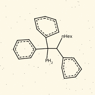 CCCCCCC(c1ccccc1)C(P)(c1ccccc1)c1ccccc1